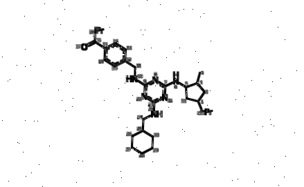 CCCC1CC(C)C(Nc2nc(NCc3ccc(C(=O)C(C)C)cc3)nc(NCC3CCCCC3)n2)C1